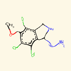 COc1c(Cl)c(Cl)c2c(c1Cl)CNC2NN